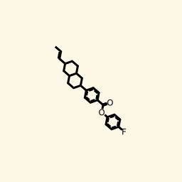 CC=CC1CCC2CC(c3ccc(C(=O)Oc4ccc(F)cc4)cc3)CCC2C1